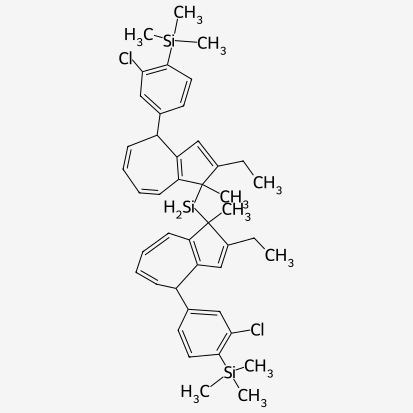 CCC1=CC2=C(C=CC=CC2c2ccc([Si](C)(C)C)c(Cl)c2)C1(C)[SiH2]C1(C)C(CC)=CC2=C1C=CC=CC2c1ccc([Si](C)(C)C)c(Cl)c1